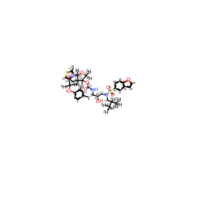 [2H]C([2H])(Oc1ccc(C[C@H](NC(=O)O[C@]2([2H])[C@@H]3CCO[C@@H]3OC2([2H])[2H])[C@H](O)CN(CC([2H])(C([2H])([2H])[2H])C([2H])([2H])[2H])S(=O)(=O)c2ccc3occc3c2)cc1)c1csc(C)n1